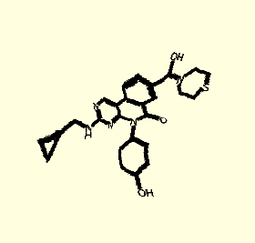 O=c1c2cc(C(O)N3CCSCC3)ccc2c2cnc(NCC3CC3)nc2n1C1CCC(O)CC1